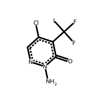 Nn1ncc(Cl)c(C(F)(F)I)c1=O